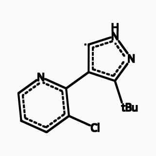 CC(C)(C)c1n[nH][c]c1-c1ncccc1Cl